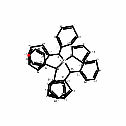 C1=C[CH]([Zr]([CH](c2ccccc2)c2ccccc2)([CH](c2ccccc2)c2ccccc2)[CH](c2ccccc2)c2ccccc2)C=C1